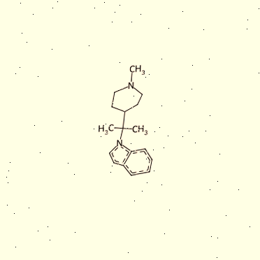 CN1CCC(C(C)(C)n2ccc3ccccc32)CC1